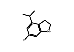 CC(C)c1cc(F)cc2c1CCN2